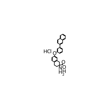 Cl.NC1(C(=O)O)CCc2ccc(Oc3cccc(-c4ccc5ccccc5c4)c3)cc2C1